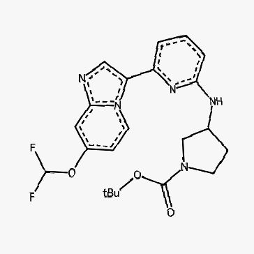 CC(C)(C)OC(=O)N1CCC(Nc2cccc(-c3cnc4cc(OC(F)F)ccn34)n2)C1